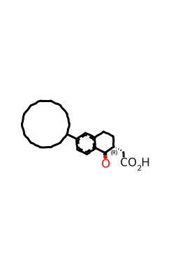 O=C(O)C[C@H]1CCc2cc(C3CCCCCCCCCCCCC3)ccc2C1=O